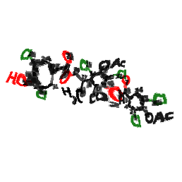 CC(=O)Oc1c(Cl)cc(C(=O)Oc2c(Cl)c(OC(C)=O)c(Cl)c(C(C)COC(=O)c3cc(Cl)c(O)c(Cl)c3)c2C(=O)O)cc1Cl